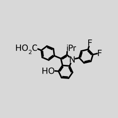 CC(C)c1c(-c2ccc(C(=O)O)cc2)c2c(O)cccc2n1-c1ccc(F)c(F)c1